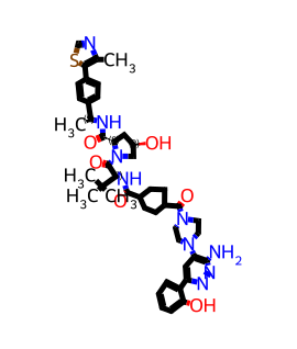 Cc1ncsc1-c1ccc([C@H](C)NC(=O)[C@@H]2C[C@@H](O)CN2C(=O)[C@@H](NC(=O)C2CCC(C(=O)N3CCN(c4cc(-c5ccccc5O)nnc4N)CC3)CC2)C(C)(C)C)cc1